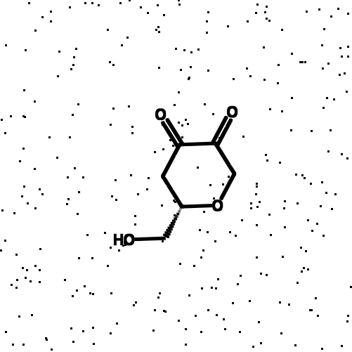 O=C1CO[C@H](CO)CC1=O